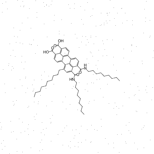 CCCCCCCCCCc1cc(C(=O)NCCCCCCCCC)c2c(C(=O)NCCCCCCCCC)ccc3c4ccc(C(=O)O)c5c(C(=O)O)ccc(c1c23)c54